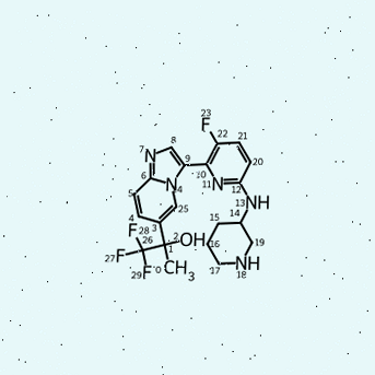 CC(O)(c1ccc2ncc(-c3nc(NC4CCCNC4)ccc3F)n2c1)C(F)(F)F